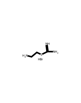 Br.N=C(N)SCCN